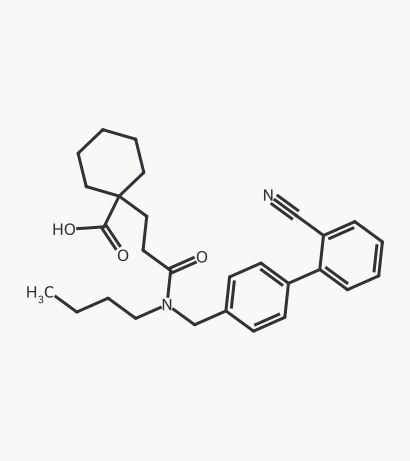 CCCCN(Cc1ccc(-c2ccccc2C#N)cc1)C(=O)CCC1(C(=O)O)CCCCC1